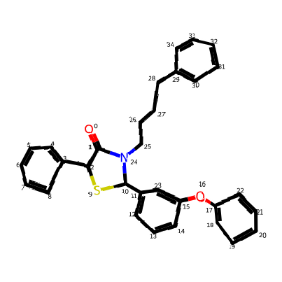 O=C1C(c2ccccc2)SC(c2cccc(Oc3ccccc3)c2)N1CCCCc1ccccc1